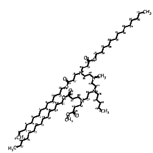 CCCCCCCCCCCCCCOC(=O)CCN(CCC(=O)OCCCCCCCCCCCCCC)CCN(C)CCN(CCCCC)CCN(CCC(=O)OC)CCC(=O)OCCCCCCCCCCCCCC